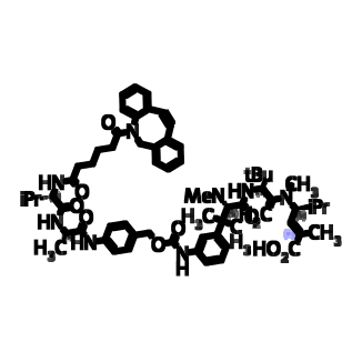 C=C([C@@H](NC(=O)[C@@H](NC)C(C)(C)c1cccc(NC(=O)OCc2ccc(NC(=O)[C@H](C)NC(=O)[C@@H](NC(=O)CCCCC(=O)N3Cc4ccccc4C#Cc4ccccc43)C(C)C)cc2)c1)C(C)(C)C)N(C)[C@H](/C=C(\C)C(=O)O)C(C)C